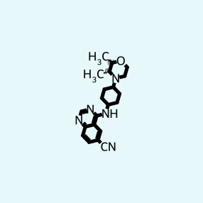 C[C@@H]1[C@@H](C)OCCN1C1CCC(Nc2ncnc3ccc(C#N)cc23)CC1